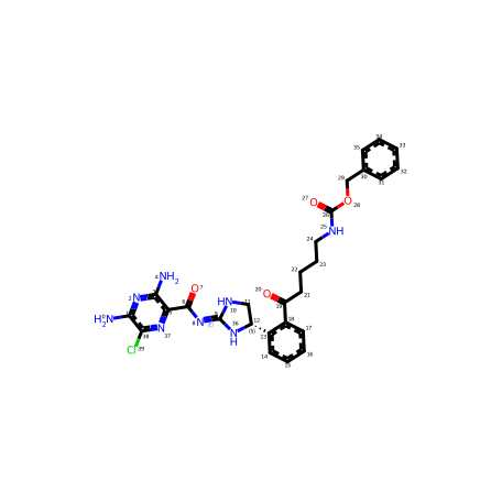 Nc1nc(N)c(C(=O)/N=C2\NC[C@H](c3ccccc3C(=O)CCCCNC(=O)OCc3ccccc3)N2)nc1Cl